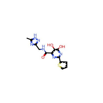 Cc1nc(CNC(=O)c2nc(-c3cccs3)nc(O)c2O)n[nH]1